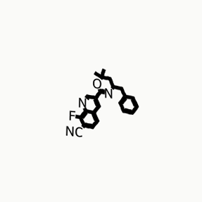 CC1(C)CC(Cc2ccccc2)N=C(c2cnc3c(F)c(C#N)ccc3c2)O1